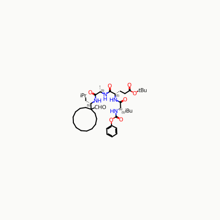 CC[C@H](C)[C@H](NC(=O)Oc1ccccc1)C(=O)N[C@@H](CCC(=O)OC(C)(C)C)C(=O)N[C@@H](C)C(=O)N[C@@H](CC(C)C)C1(C=O)CCCCCCCCCCCC1